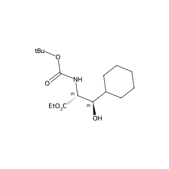 CCOC(=O)[C@H](NC(=O)OC(C)(C)C)[C@H](O)C1CCCCC1